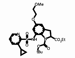 CCOC(=O)C1Cc2cc(OCCOC)cc(NS(=O)(=O)c3ncccc3C3CC3)c2N1C(=O)OC(C)(C)C